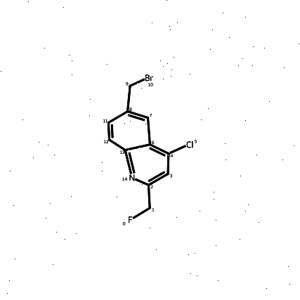 FCc1cc(Cl)c2cc(CBr)ccc2n1